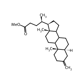 C=C1CC[C@]2(C)C3CC[C@@]4(C)C(CC[C@@H]4[C@H](C)CCC(=O)OC)C3CC[C@H]2C1